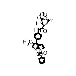 Cc1cnc2c(ccn2S(=O)(=O)c2ccccc2)c1-c1ccc(NC(=O)[C@@H](CC(C)C)NC(=O)OC(C)(C)C)cc1